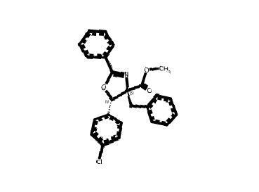 COC(=O)[C@@]1(Cc2ccccc2)N=C(c2ccccc2)O[C@H]1c1ccc(Cl)cc1